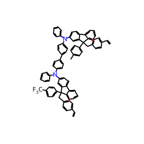 C=Cc1ccc(CC2(c3ccc(C)cc3)c3ccccc3-c3ccc(N(c4ccccc4)c4ccc(-c5ccc(N(c6ccccc6)c6ccc7c(c6)C(Cc6ccc(C=C)cc6)(c6ccc(C(F)(F)F)cc6)c6ccccc6-7)cc5)cc4)cc32)cc1